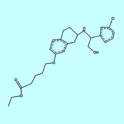 CCOC(=O)CCCCOc1ccc2c(c1)CC(NC(CO)c1cccc(Cl)c1)CC2